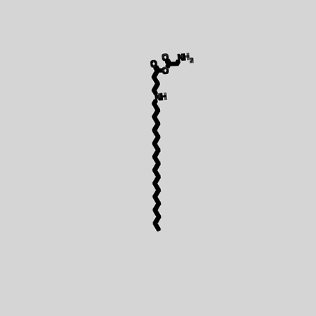 CCCCCCCCCCCCCCCCCCCCNCCCC(=O)OC(=O)CN